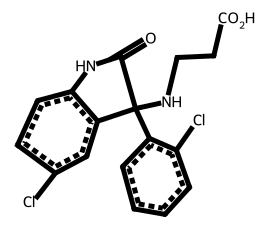 O=C(O)CCNC1(c2ccccc2Cl)C(=O)Nc2ccc(Cl)cc21